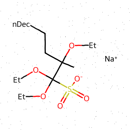 CCCCCCCCCCCCC(C)(OCC)C(OCC)(OCC)S(=O)(=O)[O-].[Na+]